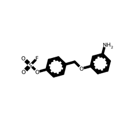 Nc1cccc(OCc2ccc(OS(=O)(=O)F)cc2)c1